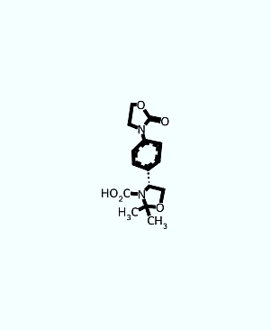 CC1(C)OC[C@@H](c2ccc(N3CCOC3=O)cc2)N1C(=O)O